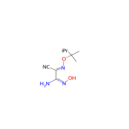 CC(C)C(C)(C)O/N=C(C#N)/C(N)=N\O